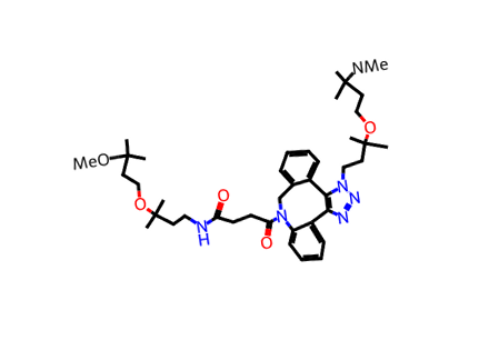 CNC(C)(C)CCOC(C)(C)CCn1nnc2c1-c1ccccc1CN(C(=O)CCC(=O)NCCC(C)(C)OCCC(C)(C)OC)c1ccccc1-2